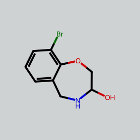 OC1COc2c(Br)cccc2CN1